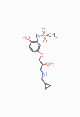 CS(=O)(=O)Nc1cc(OCC(O)CNCC2CC2)ccc1O